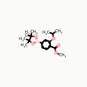 COC(=O)c1ccc(B2OC(C)(C)C(C)(C)O2)cc1OC(C)C